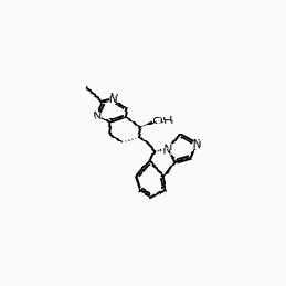 Cc1ncc2c(n1)CC[C@@H]([C@H]1c3ccccc3-c3cncn31)[C@@H]2O